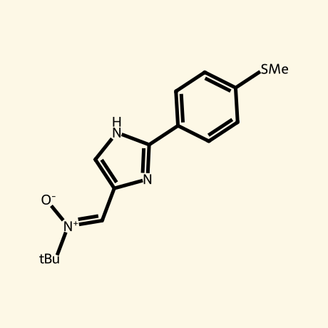 CSc1ccc(-c2nc(/C=[N+](\[O-])C(C)(C)C)c[nH]2)cc1